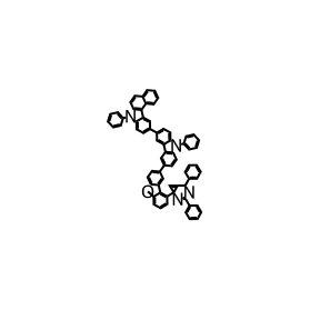 C1=C2C(c3ccccc3)=NC(c3ccccc3)=NC12c1cccc2oc3ccc(-c4ccc5c(c4)c4cc(-c6ccc7c(c6)c6c8ccccc8ccc6n7-c6ccccc6)ccc4n5-c4ccccc4)cc3c12